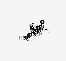 COc1nc2c(c(OCC(F)(F)F)c(C(=O)NC3CCN(C(=O)CO)CC3)n2C)c(=O)n1CC(=O)c1ccccc1